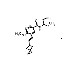 CCC(CO)NC(=O)c1cc(C=CC2CC3(CC3)C2)c(OC)nn1